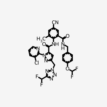 Cc1cc(C#N)cc(C(=O)NCc2ccc(OC(F)F)cc2)c1NC(=O)c1cc(Cn2nnc(C(F)F)n2)nn1-c1ncccc1Cl